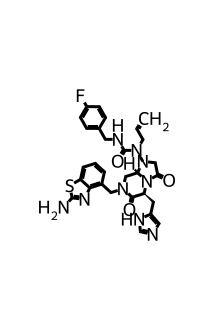 C=CCN(C(=O)NCc1ccc(F)cc1)N1CC(=O)N2[C@@H](Cc3cnc[nH]3)C(=O)N(Cc3cccc4sc(N)nc34)C[C@@H]21